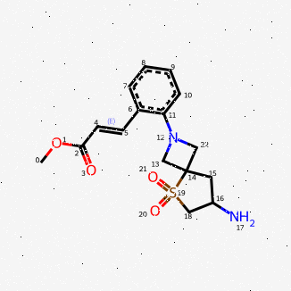 COC(=O)/C=C/c1ccccc1N1CC2(CC(N)CS2(=O)=O)C1